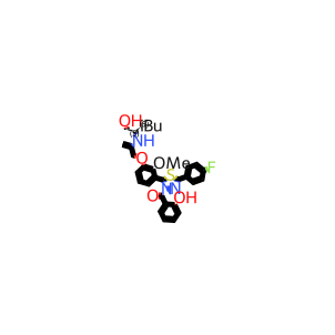 C=C(COc1cccc(C2SC(c3ccc(F)cc3)=NN2C(=O)c2ccccc2O)c1OC)N[C@H](CO)[C@@H](C)CC